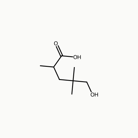 CC(CC(C)(C)CO)C(=O)O